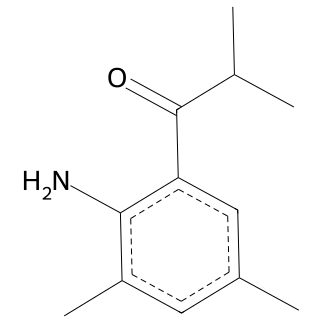 Cc1cc(C)c(N)c(C(=O)C(C)C)c1